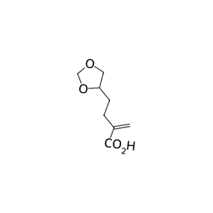 C=C(CCC1COCO1)C(=O)O